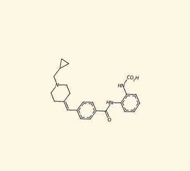 O=C(O)Nc1ccccc1NC(=O)c1ccc(C=C2CCN(CC3CC3)CC2)cc1